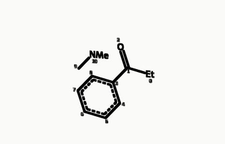 CCC(=O)c1ccccc1.CNC